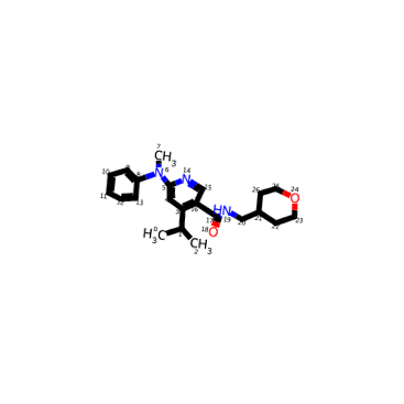 CC(C)c1cc(N(C)c2ccccc2)ncc1C(=O)NCC1CCOCC1